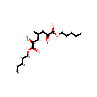 CCCCCOC(=O)C(=O)CC(C)CC(=O)C(=O)OCCCCC